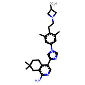 Cc1cc(-n2cnc(-c3cnc(N)c4c3CCC(C)(C)C4)c2)cc(C)c1CCN1CC(C(=O)O)C1